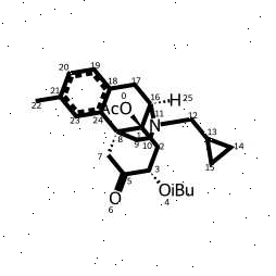 CC(=O)O[C@@]12C[C@H](OCC(C)C)C(=O)C[C@@]13CCN(CC1CC1)[C@@H]2Cc1ccc(C)cc13